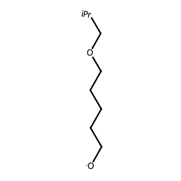 CC(C)COCCCCC[O]